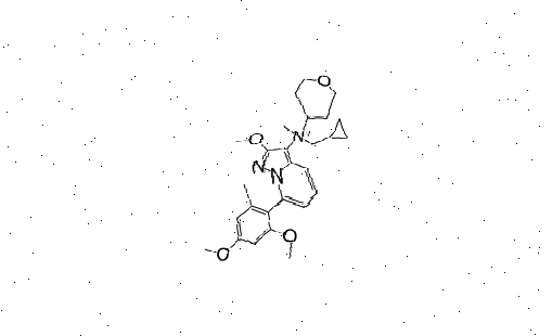 COc1cc(C)c(-c2cccc3c([N+](C)(CC4CC4)C4CCOCC4)c(OC)nn23)c(OC)c1